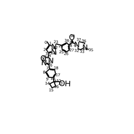 Cc1cc(-c2nc(-c3ccc(C4(CO)CCC4)cc3)no2)nn1Cc1cccc(C(=O)N2CCN(C)CC2)c1